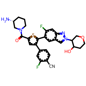 N#Cc1ccc(-c2cc(C(=O)N3CCC[C@@H](N)C3)sc2-c2cc3cn(C4COCCC4O)nc3cc2F)cc1F